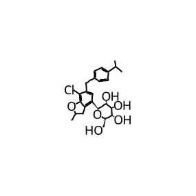 CC1Cc2c([C@@H]3O[C@H](CO)[C@@H](O)[C@H](O)[C@H]3O)cc(Cc3ccc(C(C)C)cc3)c(Cl)c2O1